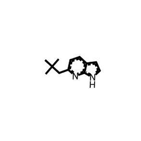 CC(C)(C)Cc1ccc2cc[nH]c2n1